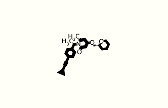 Cc1cc(OC[C@H]2CCCCO2)cc(=O)n1[C@@H](C)c1ccc(C#CC2CC2)cc1